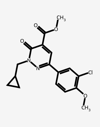 COC(=O)c1cc(-c2ccc(OC)c(Cl)c2)nn(CC2CC2)c1=O